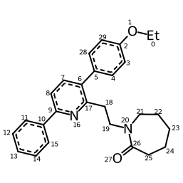 CCOc1ccc(-c2ccc(-c3ccccc3)nc2CCN2CCCCCC2=O)cc1